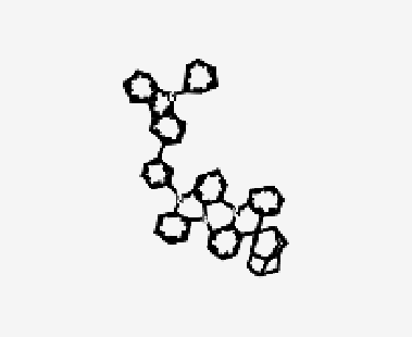 c1ccc(-n2c3ccccc3c3cc(-c4cccc(N5c6ccccc6B6c7cccc8c7N(c7ccccc7C87C8CC9CC(C8)CC7C9)c7cccc5c76)c4)ccc32)cc1